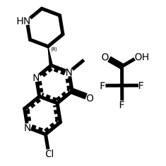 Cn1c([C@@H]2CCCNC2)nc2cnc(Cl)cc2c1=O.O=C(O)C(F)(F)F